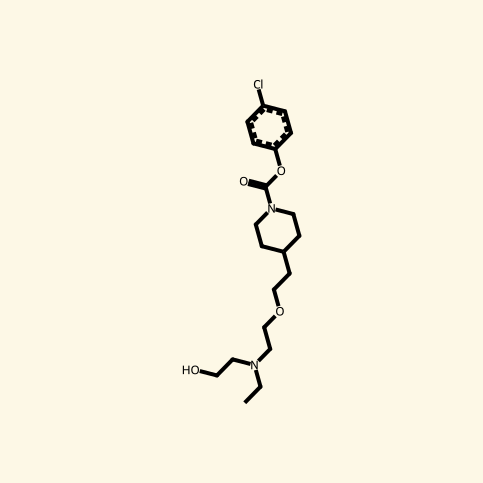 CCN(CCO)CCOCCC1CCN(C(=O)Oc2ccc(Cl)cc2)CC1